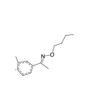 CCCCON=C(C)c1cc[c]c(C)c1